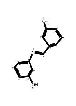 Oc1cccc(C=Nc2cccc(O)c2)c1